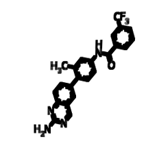 Cc1cc(NC(=O)c2cccc(C(F)(F)F)c2)ccc1-c1ccc2nc(N)ncc2c1